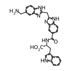 NCc1ccc2[nH]c(Cc3nc4cc(C(=O)N[C@@H](Cc5c[nH]c6ccccc56)C(=O)O)ccc4[nH]3)nc2c1